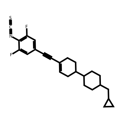 Fc1cc(C#CC2=CCC(C3CCC(CC4CC4)CC3)CC2)cc(F)c1N=C=S